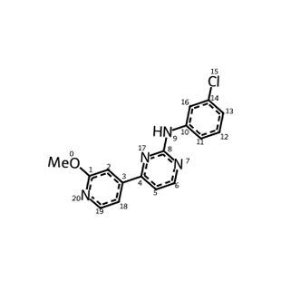 COc1cc(-c2ccnc(Nc3cccc(Cl)c3)n2)ccn1